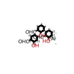 O=Cc1ccccc1O.O=Cc1ccccc1O.O=Cc1ccccc1O.[Al]